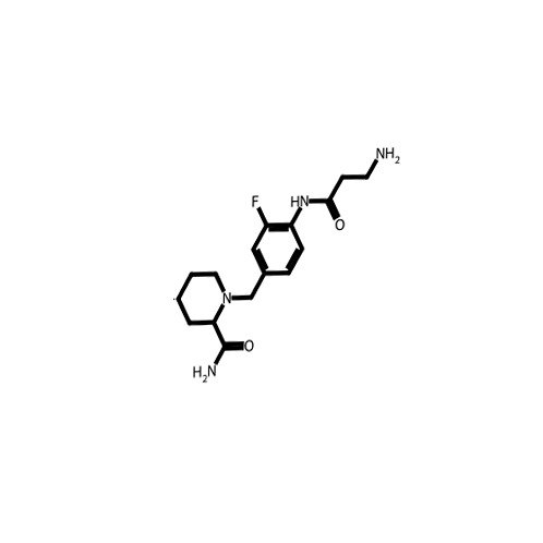 NCCC(=O)Nc1ccc(CN2CC[CH]CC2C(N)=O)cc1F